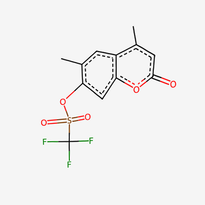 Cc1cc2c(C)cc(=O)oc2cc1OS(=O)(=O)C(F)(F)F